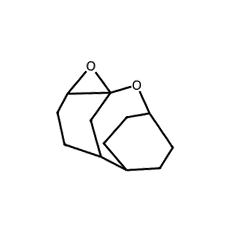 C1CC2CCC1OC13CC2CCC1O3